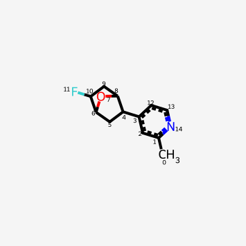 Cc1cc(C2CC3OC2CC3F)ccn1